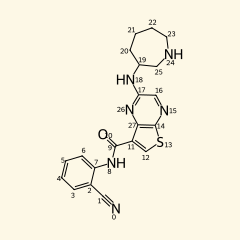 N#Cc1ccccc1NC(=O)c1csc2ncc(NC3CCCCNC3)nc12